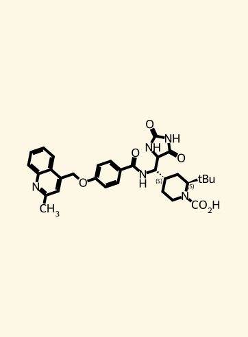 Cc1cc(COc2ccc(C(=O)NC(C3NC(=O)NC3=O)[C@H]3CCN(C(=O)O)[C@H](C(C)(C)C)C3)cc2)c2ccccc2n1